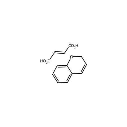 C1=Cc2ccccc2OC1.O=C(O)C=CC(=O)O